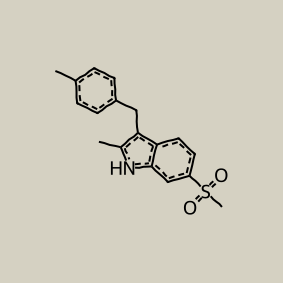 Cc1ccc(Cc2c(C)[nH]c3cc(S(C)(=O)=O)ccc23)cc1